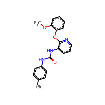 CC(C)(C)c1ccc(NC(=O)Nc2cccnc2Oc2ccccc2OC(F)(F)F)cc1